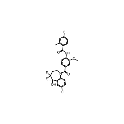 COc1cc(C(=O)N2CCC(F)(F)[C@](C)(O)c3cc(Cl)ccc32)ccc1NC(=O)c1ccc(F)cc1C